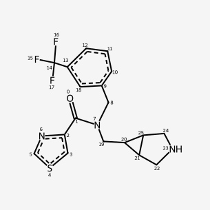 O=C(c1cscn1)N(Cc1cccc(C(F)(F)F)c1)CC1C2CNCC21